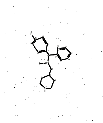 CN(CC1CCNCC1)C(c1ccc(F)cc1)c1ccccn1